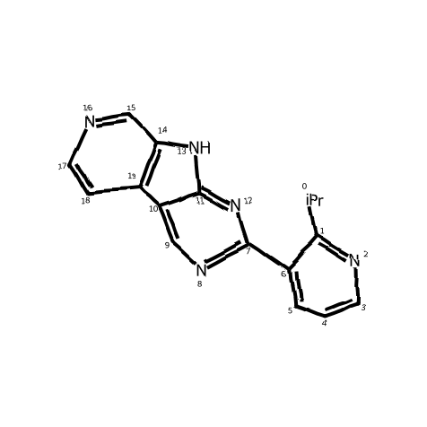 CC(C)c1ncccc1-c1ncc2c(n1)[nH]c1cnccc12